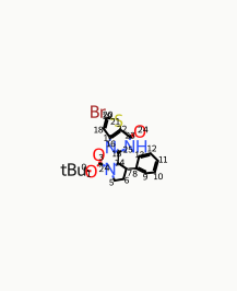 CC(C)(C)OC(=O)N1CC[C@H](c2ccccc2)[C@@H]1c1nc2cc(Br)sc2c(=O)[nH]1